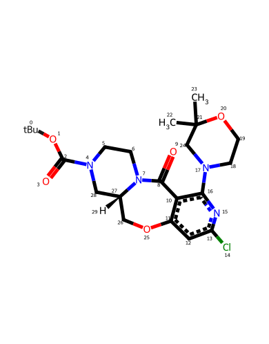 CC(C)(C)OC(=O)N1CCN2C(=O)c3c(cc(Cl)nc3N3CCOC(C)(C)C3)OC[C@@H]2C1